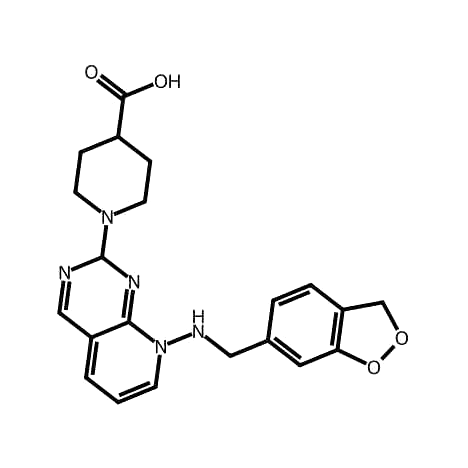 O=C(O)C1CCN(C2N=CC3=CC=CN(NCc4ccc5c(c4)OOC5)C3=N2)CC1